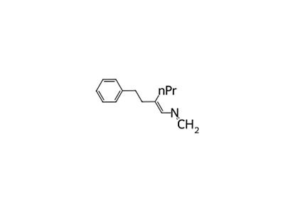 C=N/C=C(\CCC)CCc1ccccc1